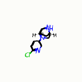 Clc1ccc(N2C[C@H]3C[C@@H]2CN3)cn1